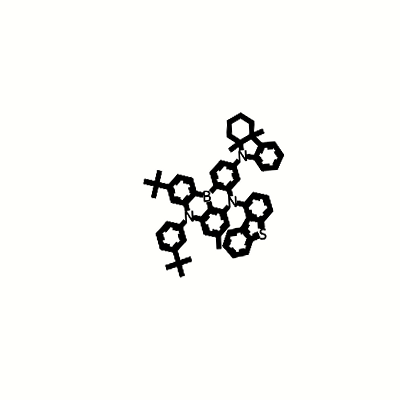 Cc1cc2c3c(c1)N(c1cccc4sc5ccccc5c14)c1cc(N4c5ccccc5C5(C)CCCCC45C)ccc1B3c1ccc(C(C)(C)C)cc1N2c1cccc(C(C)(C)C)c1